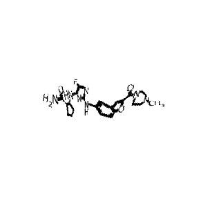 CN1CCN(C(=O)c2cc3cc(Nc4ncc(F)c(N[C@H]5CCC[C@H]5C(N)=O)n4)ccc3o2)CC1